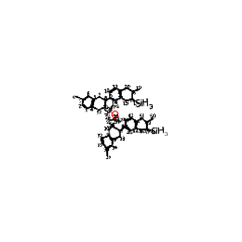 Cc1ccc2c(c1)CC(c1ccc3c(c1)CC([SiH3])C(C)C3)C([Si](C)(C)O[Si](C)(C)C1Cc3ccc(C)cc3CC1c1ccc3c(c1)CC([SiH3])C(C)C3)C2